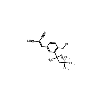 CC(C)(C)CC(C)(C)c1cc(C=C(C#N)C#N)ccc1CBr